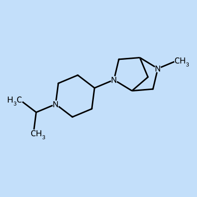 CC(C)N1CCC(N2CC3CC2CN3C)CC1